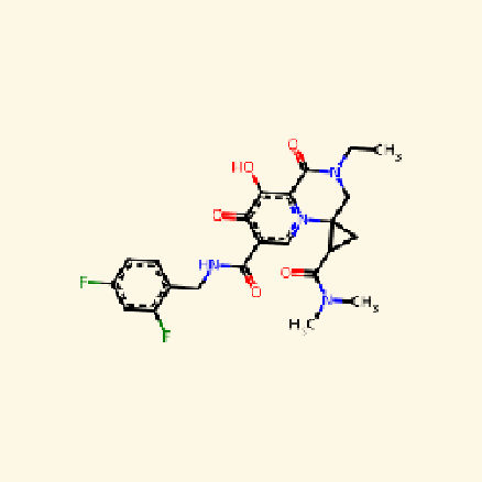 CCN1CC2(CC2C(=O)N(C)C)n2cc(C(=O)NCc3ccc(F)cc3F)c(=O)c(O)c2C1=O